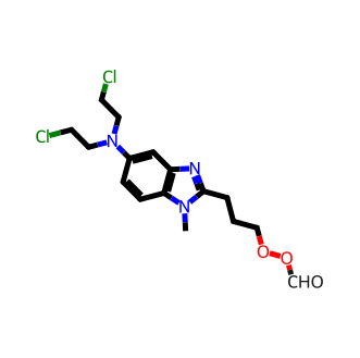 Cn1c(CCCOOC=O)nc2cc(N(CCCl)CCCl)ccc21